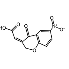 O=C(O)C=C1COc2ccc([N+](=O)[O-])cc2C1=O